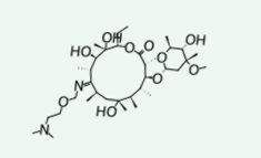 CC[C@H]1OC(=O)[C@H](C)[C@@H](O[C@H]2C[C@@](C)(OC)[C@@H](O)[C@H](C)O2)[C@H](C)[C@@H](C)[C@](C)(O)C[C@@H](C)/C(=N\COCCN(C)C)[C@H](C)[C@@H](O)[C@]1(C)O